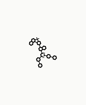 CC1(C)c2ccc(-c3ccc(-c4cc(-c5cccc(-c6ccccc6)c5)nc(-c5ccc(-c6ccccc6)cc5)n4)c4ccccc34)cc2-c2c1ccc1ccccc21